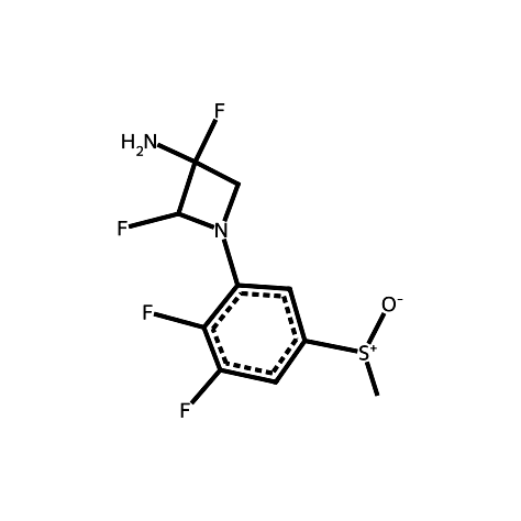 C[S+]([O-])c1cc(F)c(F)c(N2CC(N)(F)C2F)c1